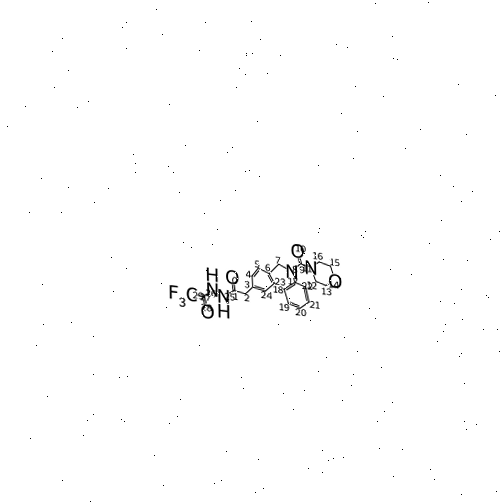 O=C(Cc1ccc(CN(C(=O)N2CCOCC2)c2ccccc2)cc1)NNC(=O)C(F)(F)F